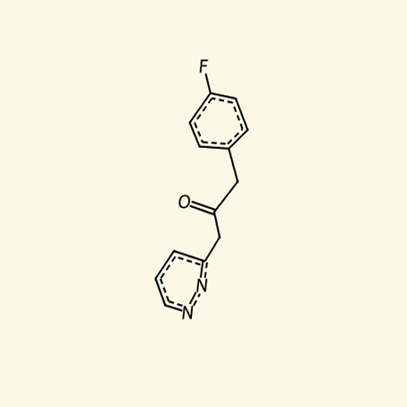 O=C(Cc1ccc(F)cc1)Cc1cccnn1